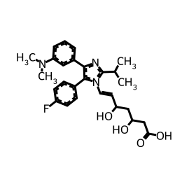 CC(C)c1nc(-c2cccc(N(C)C)c2)c(-c2ccc(F)cc2)n1/C=C/C(O)CC(O)CC(=O)O